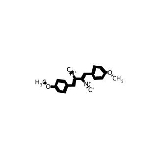 [C-]#[N+]C(=C\c1ccc(OC)cc1)/C(=C/c1ccc(OC)cc1)[N+]#[C-]